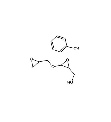 OCC1OC1OCC1CO1.Oc1ccccc1